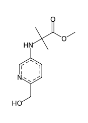 COC(=O)C(C)(C)Nc1ccc(CO)nc1